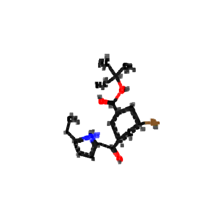 CCc1ccc(C(=O)c2cc(Br)cc(C(=O)OC(C)(C)C)c2)[nH]1